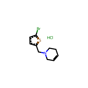 Brc1ccc(CN2CC=CCC2)s1.Cl